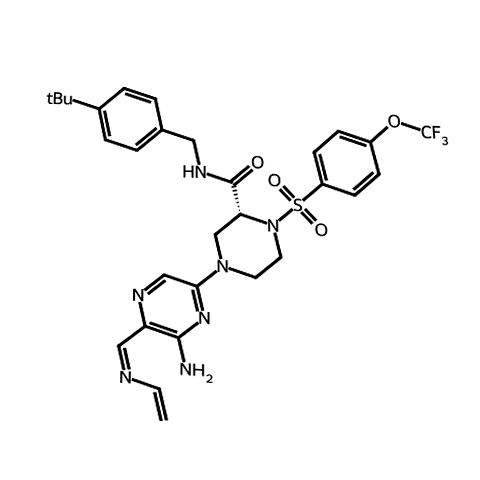 C=C/N=C\c1ncc(N2CCN(S(=O)(=O)c3ccc(OC(F)(F)F)cc3)[C@@H](C(=O)NCc3ccc(C(C)(C)C)cc3)C2)nc1N